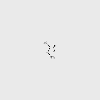 CCCC.CCCCCN